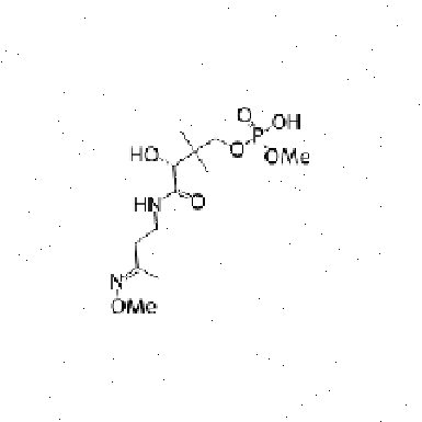 CO/N=C(\C)CCNC(=O)[C@H](O)C(C)(C)COP(=O)(O)OC